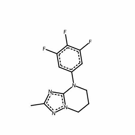 Cc1nc2n(n1)CCCN2c1cc(F)c(F)c(F)c1